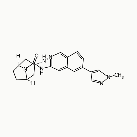 Cn1cc(-c2ccc3cnc(NC(=O)N4[C@@H]5CC[C@H]4C[C@H](N)C5)cc3c2)cn1